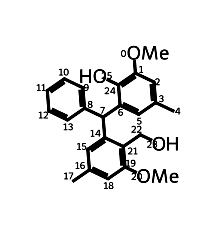 COc1cc(C)cc(C(c2ccccc2)c2cc(C)cc(OC)c2CO)c1O